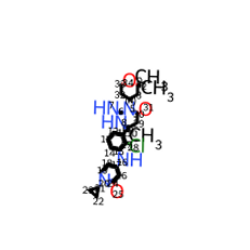 CC1(C)C[C@H](N2C(=N)N[C@](C)(c3cccc(Nc4ccn(C5CC5)c(=O)c4)c3Cl)CC2=O)CCO1